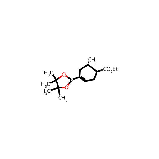 CCOC(=O)C1CC=C(B2OC(C)(C)C(C)(C)O2)C[C@@H]1C